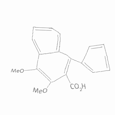 COc1c(C(=O)O)c(-c2ccccc2)c2ccccc2c1OC